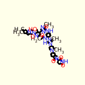 C=CC(=O)Nc1cc(Nc2nc(-c3ccnc(N4CCn5c(cc6c5CC(C)(C)C6)C4=O)c3CO)cnc2OC)ccc1N1CCN(C2CCN(c3ccc4c(c3)CN(C3CCC(=O)NC3=O)C4=O)[C@H](C)C2)C[C@@H]1C